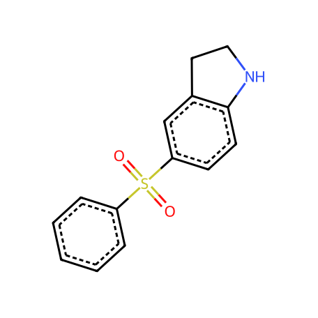 O=S(=O)(c1ccccc1)c1ccc2c(c1)CCN2